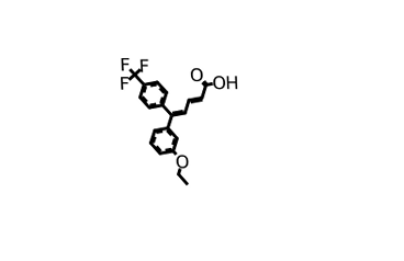 CCOc1cccc(/C(=C/C=C/C(=O)O)c2ccc(C(F)(F)F)cc2)c1